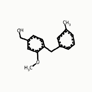 COc1cc(CO)ccc1Cc1cccc(C)c1